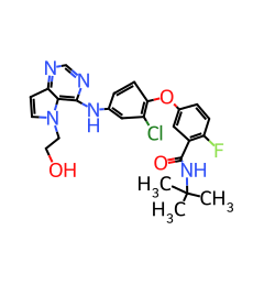 CC(C)(C)NC(=O)c1cc(Oc2ccc(Nc3ncnc4ccn(CCO)c34)cc2Cl)ccc1F